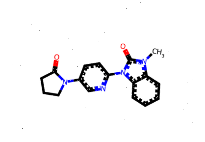 Cn1c(=O)n(-c2ccc(N3CCCC3=O)cn2)c2ccccc21